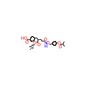 CC(C)C(=O)Oc1ccc(CONC(=O)CCC(Cc2ccc(C(=O)O)cc2)C(=O)OCC[Si](C)(C)C)cc1